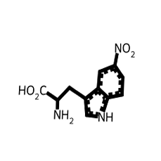 NC(Cc1c[nH]c2ccc([N+](=O)[O-])cc12)C(=O)O